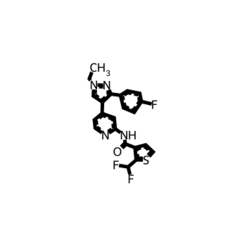 CCn1cc(-c2ccnc(NC(=O)c3ccsc3C(F)F)c2)c(-c2ccc(F)cc2)n1